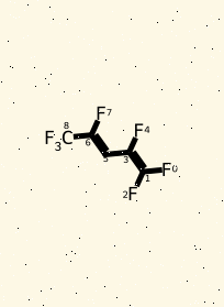 FC(F)=C(F)/C=C(\F)C(F)(F)F